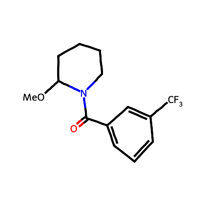 COC1CCCCN1C(=O)c1cccc(C(F)(F)F)c1